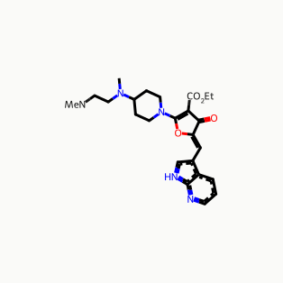 CCOC(=O)C1=C(N2CCC(N(C)CCNC)CC2)O/C(=C\c2c[nH]c3ncccc23)C1=O